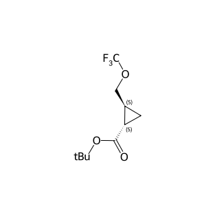 CC(C)(C)OC(=O)[C@H]1C[C@@H]1COC(F)(F)F